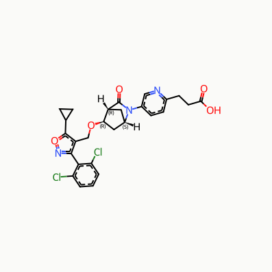 O=C(O)CCc1ccc(N2C(=O)[C@@H]3C[C@H]2C[C@H]3OCc2c(-c3c(Cl)cccc3Cl)noc2C2CC2)cn1